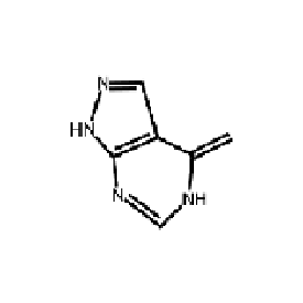 C=C1NC=Nc2[nH]ncc21